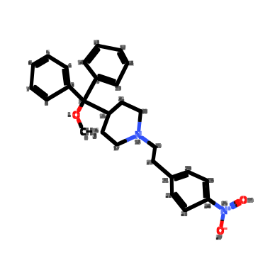 COC(c1ccccc1)(c1ccccc1)C1CCN(CCc2ccc([N+](=O)[O-])cc2)CC1